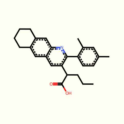 CCCC(C(=O)O)c1cc2cc3c(cc2nc1-c1ccc(C)cc1C)CCCC3